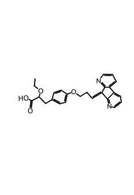 CCOC(Cc1ccc(OCCC=C2c3ncccc3-c3cccnc32)cc1)C(=O)O